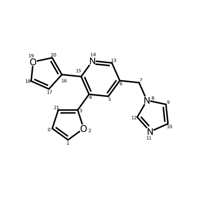 c1coc(-c2cc(Cn3ccnc3)cnc2-c2ccoc2)c1